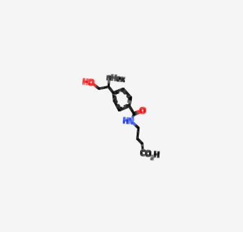 CCCCCCC(CO)c1ccc(C(=O)NCCCC(=O)O)cc1